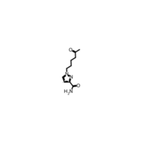 CC(=O)CCCCn1c[c]c(C(N)=O)n1